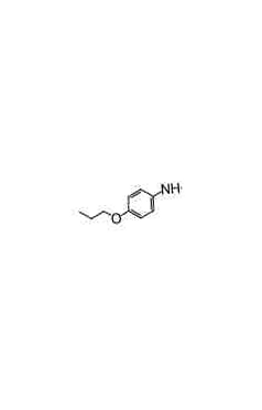 CCCOc1ccc([NH])cc1